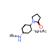 CC(=O)N[C@@H]1C[C@H](NC(C)(C)C)CCC1N1CCCC1=O